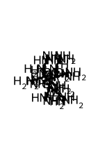 N=C(N)NCCCC(N)C(=O)NC(CCCNC(=N)N)C(=O)C(CN)N(C(CN)C(=O)C(CCCNC(=N)N)NC(=O)C(N)CCCNC(=N)N)C(CN)C(=O)C(CCCNC(=N)N)NC(=O)C(N)CCCNC(=N)N